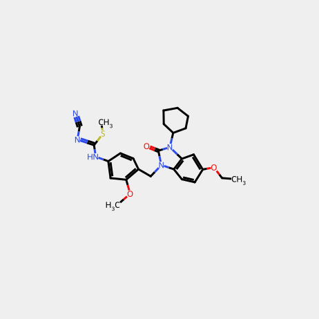 CCOc1ccc2c(c1)n(C1CCCCC1)c(=O)n2Cc1ccc(NC(=NC#N)SC)cc1OC